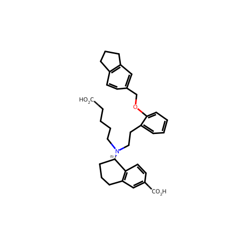 O=C(O)CCCCN(CCc1ccccc1OCc1ccc2c(c1)CCC2)[C@H]1CCCc2cc(C(=O)O)ccc21